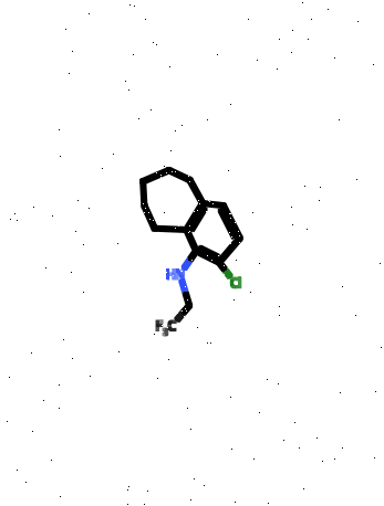 FC(F)(F)CNc1c(Cl)ccc2c1CCCCC2